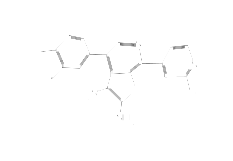 CCc1cc(-c2ncc(-c3ccc(F)c(Cl)c3)c3c(N)c(N)oc23)ccn1